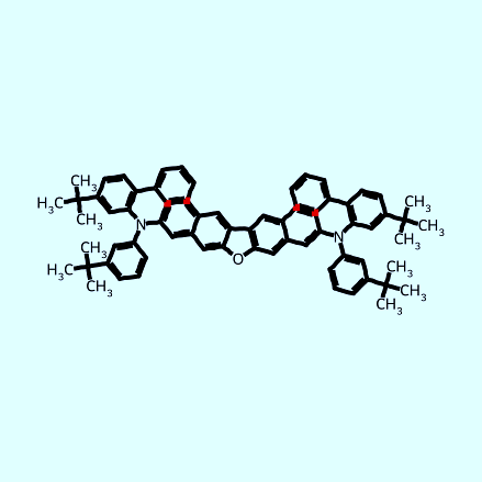 CC(C)(C)c1cccc(N(c2ccc3cc4c(cc3c2)oc2cc3cc(N(c5cccc(C(C)(C)C)c5)c5cc(C(C)(C)C)ccc5-c5ccccc5)ccc3cc24)c2cc(C(C)(C)C)ccc2-c2ccccc2)c1